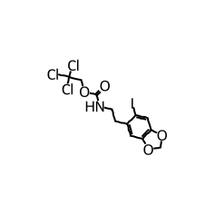 O=C(NCCc1cc2c(cc1I)OCO2)OCC(Cl)(Cl)Cl